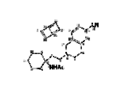 CC(=O)NC1(CCN2CCc3cc(C#N)ccc3C2)CCCCC1.c1cc2ccc1-2